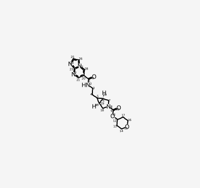 O=C(NCCC1[C@H]2CN(C(=O)OC3CCOCC3)C[C@@H]12)c1cnc2nccn2c1